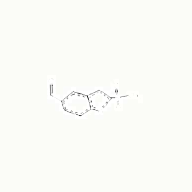 CS(=O)(=O)c1cc2cc(C=O)ccc2o1